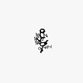 C=CC(=O)NC1C=C(C)c2c(-c3cnc4ccccc4c3)c3c(N)ncnn3c2C1